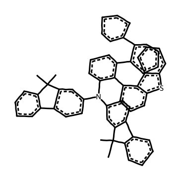 CC1(C)c2ccccc2-c2ccc(N(c3ccc4c(c3)C(C)(C)c3ccccc3-4)c3cccc(-c4ccccc4-c4ccccc4)c3-c3cccc4sc5ccccc5c34)cc21